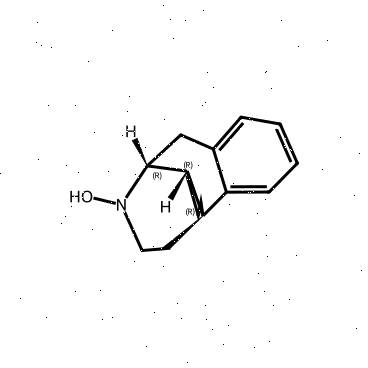 ON1CC[C@]23CCCC[C@H]2[C@H]1Cc1ccccc13